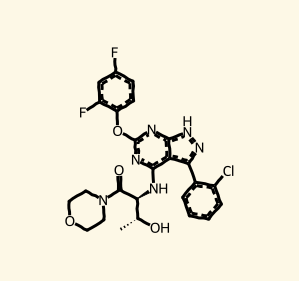 C[C@@H](O)[C@H](Nc1nc(Oc2ccc(F)cc2F)nc2[nH]nc(-c3ccccc3Cl)c12)C(=O)N1CCOCC1